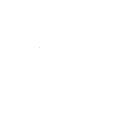 c1ccc(N2Cc3cc(-c4ccc(-c5cccs5)s4)cc4c3C2CCC4)cc1